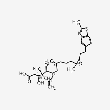 C=CC[C@H](C[C@@H](C)CCCC1(C)OC1CCc1ccc2sc(C)nc2c1)C(=O)C(C)(C)[C@@H](O)CC(=O)O